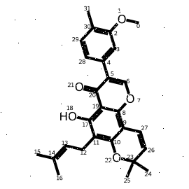 COc1cc(-c2coc3c4c(c(CC=C(C)C)c(O)c3c2=O)OC(C)(C)C=C4)ccc1C